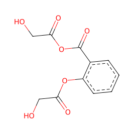 O=C(CO)OC(=O)c1ccccc1OC(=O)CO